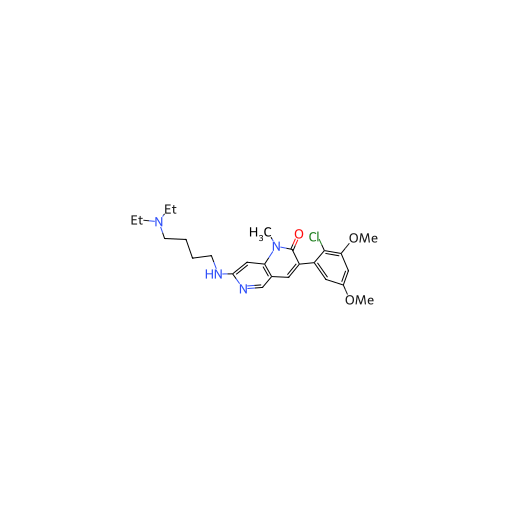 CCN(CC)CCCCNc1cc2c(cn1)cc(-c1cc(OC)cc(OC)c1Cl)c(=O)n2C